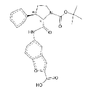 CC(C)(C)OC(=O)N1CC[C@H](c2ccccc2)[C@H]1C(=O)Nc1ccc2oc(C(=O)O)cc2c1